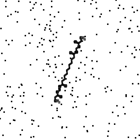 CCC(=O)OCOC(=O)CCCCCCCCCCC(=O)OCOC(=O)CC